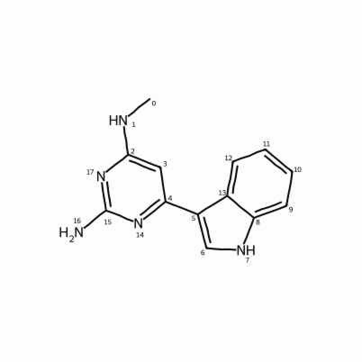 CNc1cc(-c2c[nH]c3ccccc23)nc(N)n1